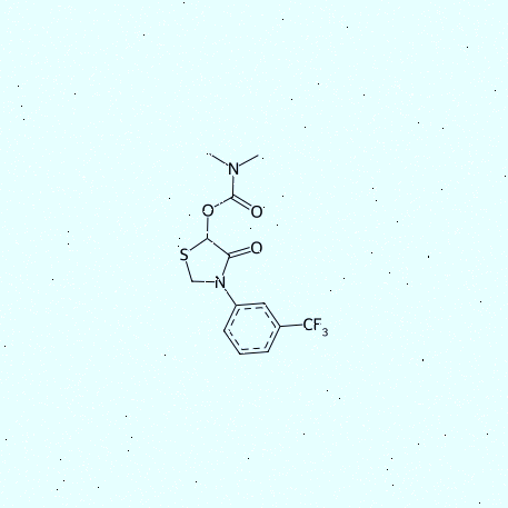 CN(C)C(=O)OC1SCN(c2cccc(C(F)(F)F)c2)C1=O